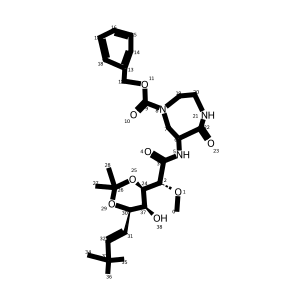 CO[C@@H](C(=O)NC1CN(C(=O)OCc2ccccc2)CCNC1=O)[C@@H]1OC(C)(C)O[C@H](C=CC(C)(C)C)[C@@H]1O